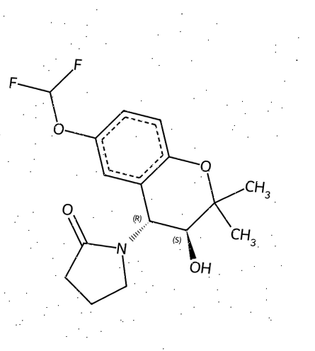 CC1(C)Oc2ccc(OC(F)F)cc2[C@@H](N2CCCC2=O)[C@@H]1O